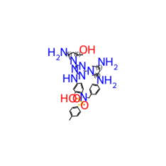 Cc1ccc(S(=O)(=O)N(Cc2ccccc2)c2ccc(Nc3nc(N4C[C@H](N)C[C@H](N)C4)nc(N4C[C@@H](N)C[C@H]4CO)n3)cc2O)cc1